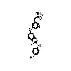 Cn1c(Nc2ccc(Br)cc2)nc2cc(Oc3cncc(CC(N)=O)c3)ccc21